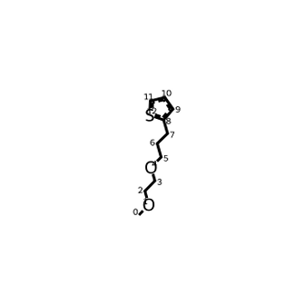 COCCOCCCc1cccs1